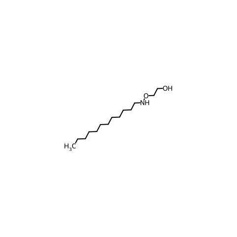 CCCCCCCCCCCCNOCCO